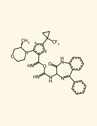 C[C@@H]1COCCN1c1sc(C2(C(F)(F)F)CC2)nc1C(=N)OC(=N)NC1N=C(c2ccccc2)c2ccccc2NC1=O